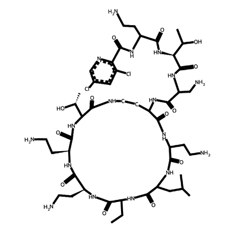 CCC1NC(=O)C(CC(C)C)NC(=O)C(CCN)NC(=O)C(NC(=O)C(CN)NC(=O)[C@@H](NC(=O)C(CCN)NC(=O)c2ncc(Cl)cc2Cl)C(C)O)CCNC(=O)C([C@@H](C)O)NC(=O)[C@H](CCN)NC(=O)[C@H](CCN)NC1=O